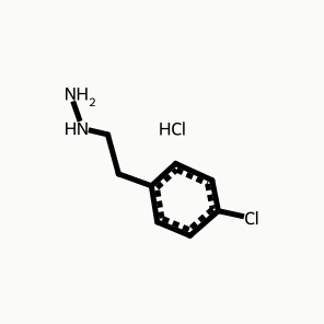 Cl.NNCCc1ccc(Cl)cc1